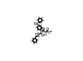 COC(=O)Nc1nc2cc([S+]([O-])c3ccccc3)ccc2n1C(=O)NCCc1ccccc1